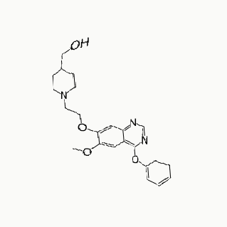 COc1cc2c(OC3=CC=CCC3)ncnc2cc1OCCN1CCC(CO)CC1